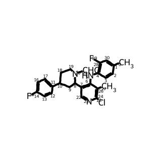 Cc1ccc(Nc2c(C3CC(c4ccc(F)cc4)CCN3C=O)cnc(Cl)c2C)c(F)c1